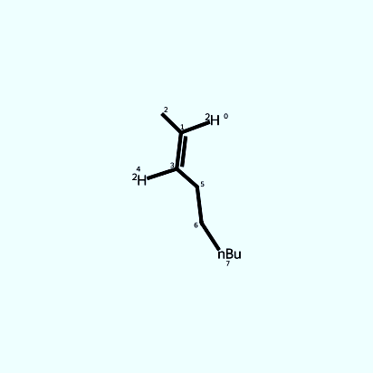 [2H]C(C)=C([2H])CCCCCC